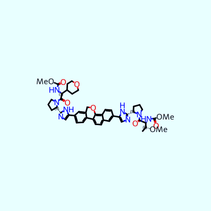 COC(=O)NC(C(=O)N1CCC[C@H]1c1ncc(-c2ccc3c4c(ccc3c2)-c2ccc(-c3cnc([C@@H]5CCCN5C(=O)[C@@H](NC(=O)OC)C5CCOCC5)[nH]3)cc2CO4)[nH]1)[C@@H](C)OC